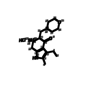 CCc1c(C)[nH]c2c1C(=O)C(CN1CCOCC1)CC2.Cl.[SiH4]